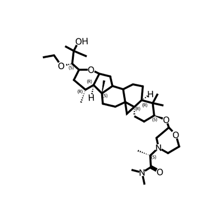 CCO[C@@H](C1C[C@@H](C)[C@H]2C(CC3C4CC[C@H]5C(C)(C)[C@@H](OC6CN([C@@H](C)C(=O)N(C)C)CCO6)CC[C@@]56CC46CC[C@@]32C)O1)C(C)(C)O